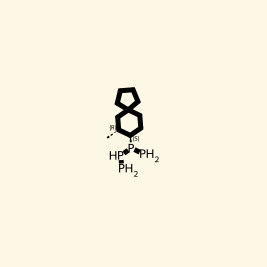 C[C@@H]1CC2(CCCC2)CC[C@@H]1P(P)PP